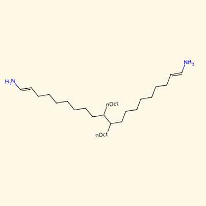 CCCCCCCCC(CCCCCCCC=CN)C(CCCCCCCC)CCCCCCCC=CN